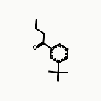 CCCC(=O)c1cccc(C(C)(C)C)c1